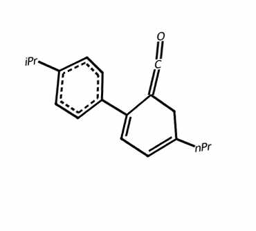 CCCC1=CC=C(c2ccc(C(C)C)cc2)C(=C=O)C1